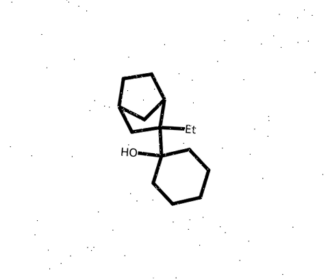 CCC1(C2(O)CCCCC2)CC2CCC1C2